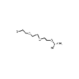 C[C@H](Br)OCCOCCOCCBr